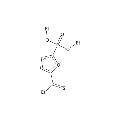 CCOP(=O)(OCC)c1ccc(C(=S)CC)o1